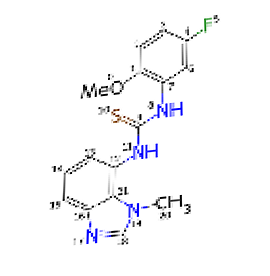 COc1ccc(F)cc1NC(=S)Nc1cccc2ncn(C)c12